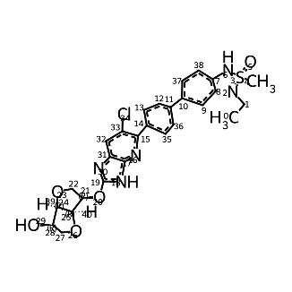 CCN=S(C)(=O)Nc1ccc(-c2ccc(-c3nc4[nH]c(O[C@@H]5CO[C@H]6[C@@H]5OC[C@H]6O)nc4cc3Cl)cc2)cc1